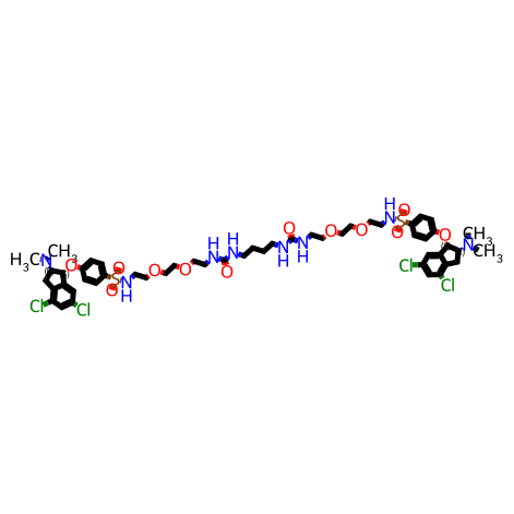 CN(C)[C@@H]1Cc2c(Cl)cc(Cl)cc2[C@@H]1Oc1ccc(S(=O)(=O)NCCOCCOCCNC(=O)NCCCCNC(=O)NCCOCCOCCNS(=O)(=O)c2ccc(O[C@H]3c4cc(Cl)cc(Cl)c4C[C@H]3N(C)C)cc2)cc1